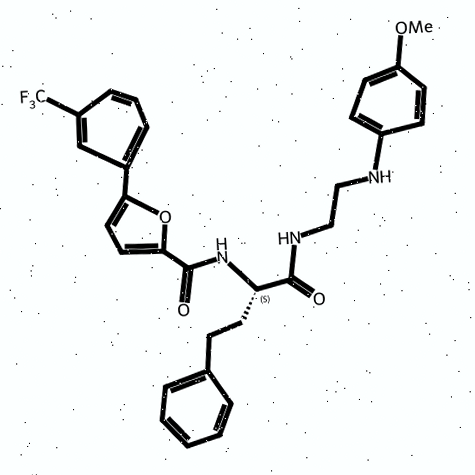 COc1ccc(NCCNC(=O)[C@H](CCc2ccccc2)NC(=O)c2ccc(-c3cccc(C(F)(F)F)c3)o2)cc1